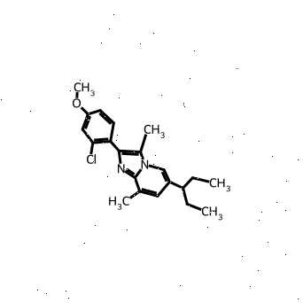 CCC(CC)c1cc(C)c2nc(-c3ccc(OC)cc3Cl)c(C)n2c1